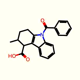 CC1CCc2c(c3ccccc3n2C(=O)c2ccccc2)C1C(=O)O